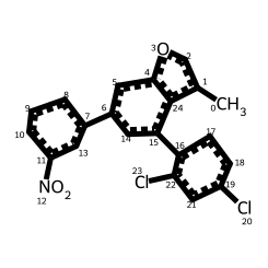 Cc1[c]oc2cc(-c3cccc([N+](=O)[O-])c3)cc(-c3ccc(Cl)cc3Cl)c12